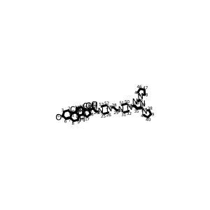 C[C@]12CCC(=O)C=C1CC[C@@H]1C2=CC[C@@]2(C)[C@H]1CC[C@]2(O)C(=O)CN1CCN(CCN2CCN(c3cc(N4CCCC4)nc(N4CCCC4)n3)CC2)CC1